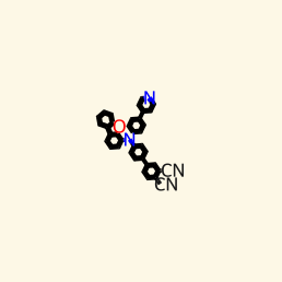 N#Cc1ccc(-c2ccc(N(c3ccc(-c4ccncc4)cc3)c3cccc4c3oc3ccccc34)cc2)cc1C#N